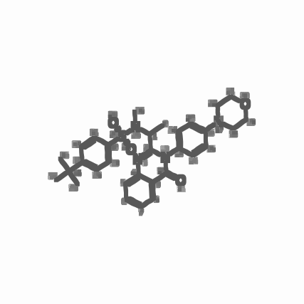 CC(c1nc2ccccc2c(=O)n1-c1ccc(N2CCOCC2)cc1)N(C)S(=O)(=O)c1ccc(C(C)(C)C)cc1